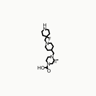 C[C@H]1CN(C(=O)O)CCN1CC1CCN(CC2(F)CCNCC2)CC1